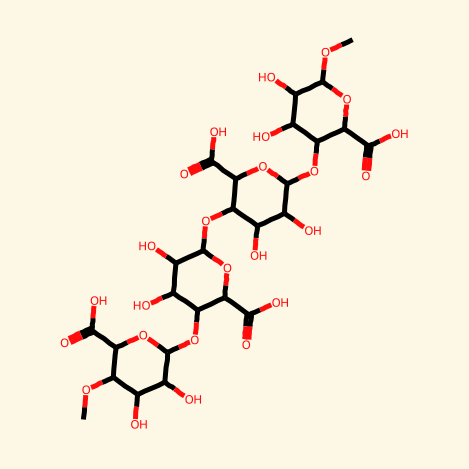 COC1OC(C(=O)O)C(OC2OC(C(=O)O)C(OC3OC(C(=O)O)C(OC4OC(C(=O)O)C(OC)C(O)C4O)C(O)C3O)C(O)C2O)C(O)C1O